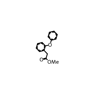 COC(=O)Cc1ccccc1Oc1ccccc1